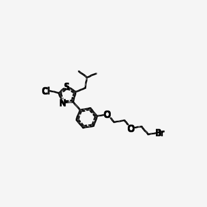 CC(C)Cc1sc(Cl)nc1-c1cccc(OCCOCCBr)c1